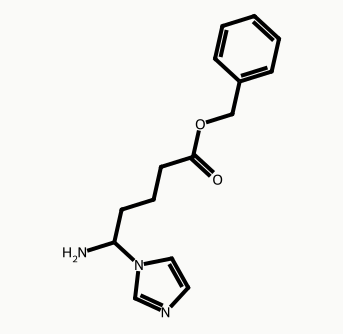 NC(CCCC(=O)OCc1ccccc1)n1ccnc1